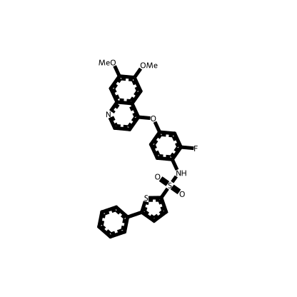 COc1cc2nccc(Oc3ccc(NS(=O)(=O)c4ccc(-c5ccccc5)s4)c(F)c3)c2cc1OC